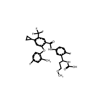 COCCC(NC(=O)O)c1cc(NC(=O)c2cc(C(F)(F)F)c(C3CC3)cc2Oc2ccc(F)cc2C)ccc1F